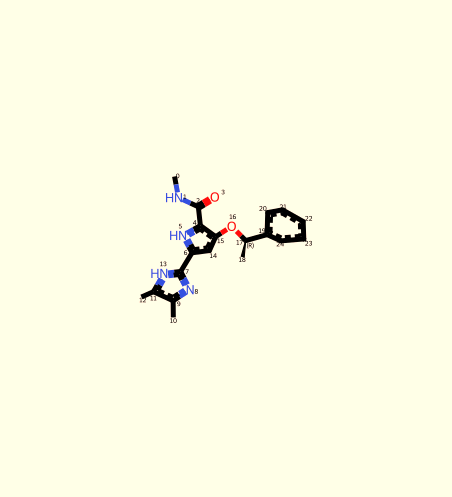 CNC(=O)c1[nH]c(-c2nc(C)c(C)[nH]2)cc1O[C@H](C)c1ccccc1